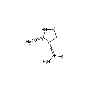 NC(=S)[S-].O=C1CCCN1.[Na+]